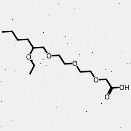 CCCCC(COCCOCCOCC(=O)O)OCC